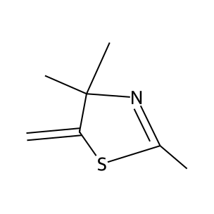 C=C1SC(C)=NC1(C)C